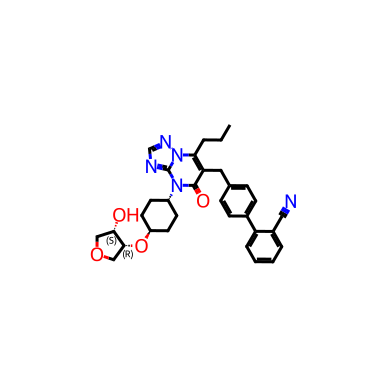 CCCc1c(Cc2ccc(-c3ccccc3C#N)cc2)c(=O)n([C@H]2CC[C@H](O[C@@H]3COC[C@@H]3O)CC2)c2ncnn12